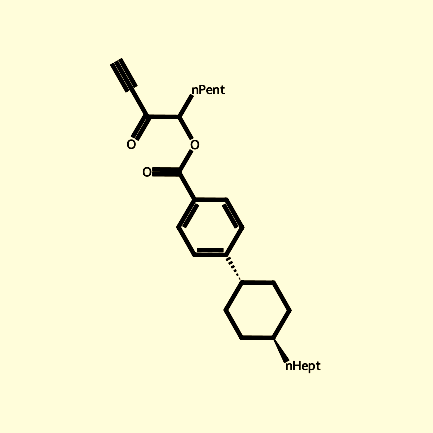 C#CC(=O)C(CCCCC)OC(=O)c1ccc([C@H]2CC[C@H](CCCCCCC)CC2)cc1